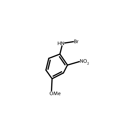 COc1ccc(NBr)c([N+](=O)[O-])c1